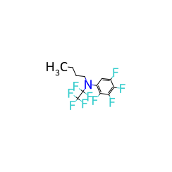 CCCCN(c1cc(F)c(F)c(F)c1F)C(F)(F)C(F)(F)F